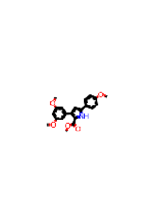 COC(=O)c1[nH]c(-c2ccc(OC)cc2)cc1-c1cc(OC)cc(OC)c1